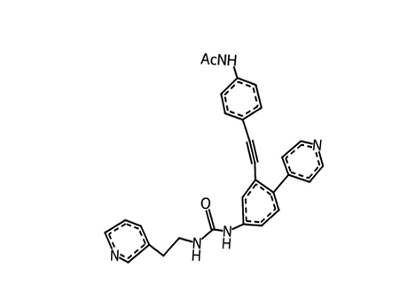 CC(=O)Nc1ccc(C#Cc2cc(NC(=O)NCCc3cccnc3)ccc2-c2ccncc2)cc1